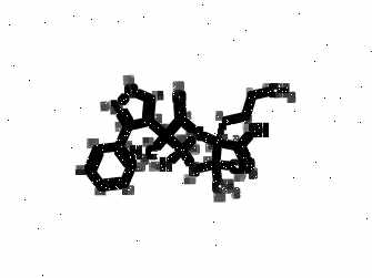 CCCC[C@@]1(C(=O)S)N2C(=O)C(C)(c3conc3-c3ccccc3)[C@H]2SC1(C)C